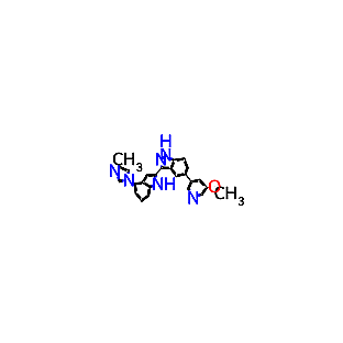 COc1cncc(-c2ccc3[nH]nc(-c4cc5c(-n6cnc(C)c6)cccc5[nH]4)c3c2)c1